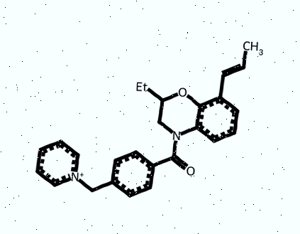 CC=Cc1cccc2c1OC(CC)CN2C(=O)c1ccc(C[n+]2ccccc2)cc1